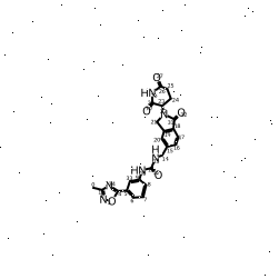 Cc1noc(-c2cccc(NC(=O)NCc3ccc4c(c3)CN(C3CCC(=O)NC3=O)C4=O)c2)n1